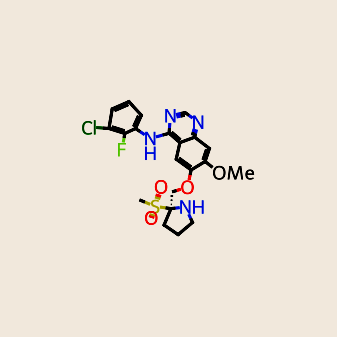 COc1cc2ncnc(Nc3cccc(Cl)c3F)c2cc1OC[C@@]1(S(C)(=O)=O)CCCN1